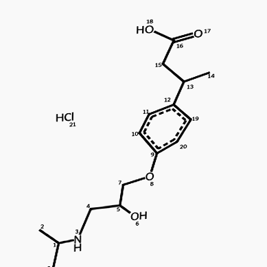 CC(C)NCC(O)COc1ccc(C(C)CC(=O)O)cc1.Cl